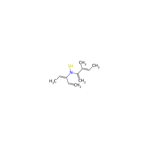 C=C/C(=C\C)N(S)C(=C)/C(C)=C/C